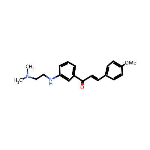 COc1ccc(/C=C/C(=O)c2cccc(NCCN(C)C)c2)cc1